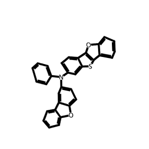 c1ccc(N(c2ccc3c(c2)sc2c4ccccc4oc32)c2ccc3oc4ccccc4c3c2)cc1